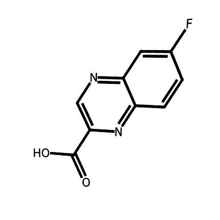 O=C(O)c1cnc2cc(F)ccc2n1